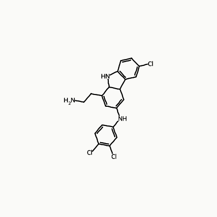 NCCC1=CC(Nc2ccc(Cl)c(Cl)c2)=CC2c3cc(Cl)ccc3NC12